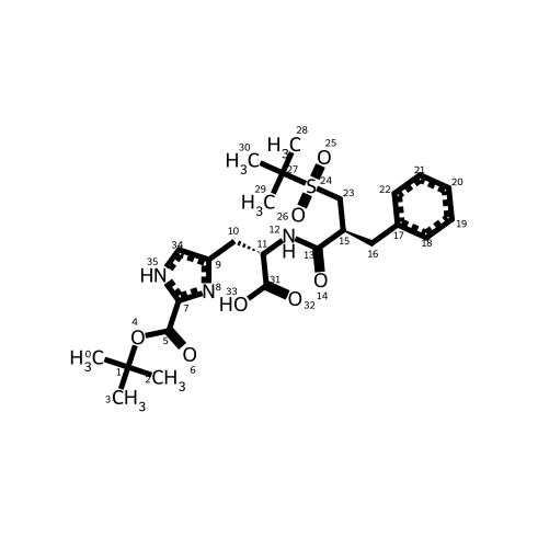 CC(C)(C)OC(=O)c1nc(C[C@H](NC(=O)[C@H](Cc2ccccc2)CS(=O)(=O)C(C)(C)C)C(=O)O)c[nH]1